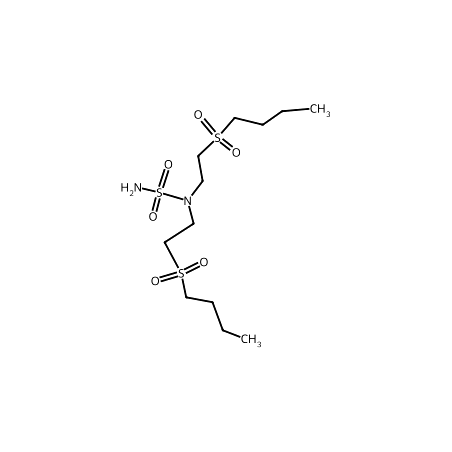 CCCCS(=O)(=O)CCN(CCS(=O)(=O)CCCC)S(N)(=O)=O